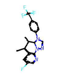 CC1c2cc(F)cnc2N2N=CN(c3ccc(C(F)(F)F)cc3)C2C1C